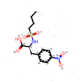 CCCCS(=O)(=O)N[C@@H](Cc1ccc([N+](=O)[O-])cc1)C(=O)O